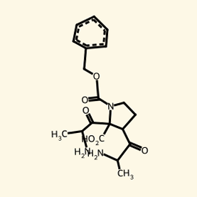 CC(N)C(=O)C1CCN(C(=O)OCc2ccccc2)C1(C(=O)O)C(=O)C(C)N